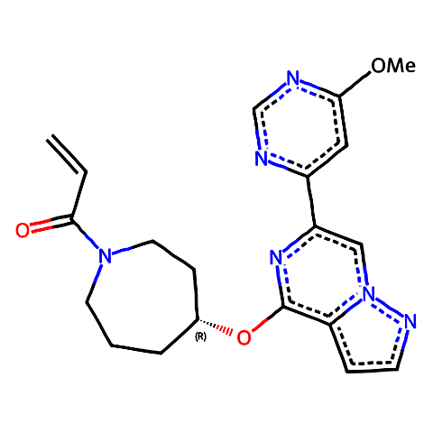 C=CC(=O)N1CCC[C@@H](Oc2nc(-c3cc(OC)ncn3)cn3nccc23)CC1